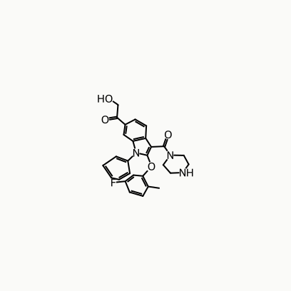 Cc1ccc(F)cc1Oc1c(C(=O)N2CCNCC2)c2ccc(C(=O)CO)cc2n1-c1ccccc1